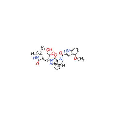 COc1cccc2[nH]c(C(=O)N3C[C@@H]4CCC[C@@H]4[C@H]3C(=O)N[C@@H](C[C@@H]3CC(C)(C)NC3=O)C(=O)CO)cc12